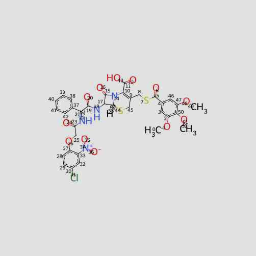 COc1cc(C(=O)SCC2=C(C(=O)O)N3C(=O)C(NC(=O)[C@@H](NC(=O)COc4ccc(Cl)cc4[N+](=O)[O-])c4ccccc4)[C@@H]3SC2)cc(OC)c1OC